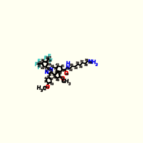 COc1ccc(-c2nc(-c3cc(C(F)(F)F)cc(C(F)(F)F)c3)n(Cc3ccc(C(=O)NCCCCCCCCN)cc3)c2-c2ccc(OC)cc2)cc1